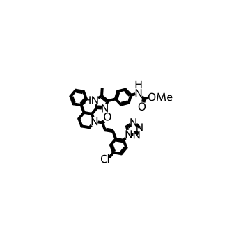 COC(=O)Nc1ccc(-c2nc(C3C(c4ccccc4)CCCN3C(=O)/C=C/c3cc(Cl)ccc3-n3cnnn3)[nH]c2C)cc1